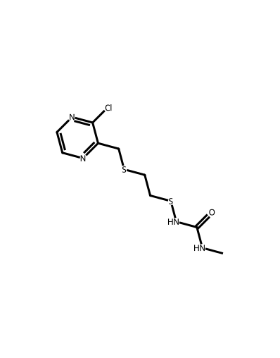 CNC(=O)NSCCSCc1nccnc1Cl